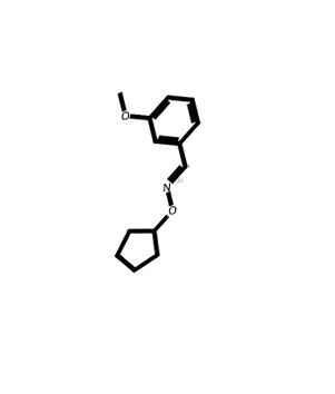 COc1cccc(/[C]=N/OC2CCCC2)c1